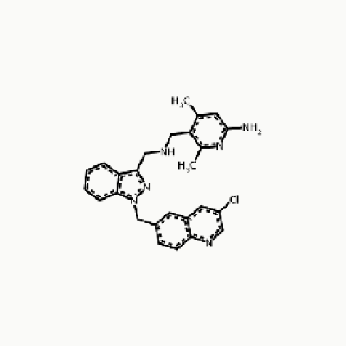 Cc1cc(N)nc(C)c1CNCc1nn(Cc2ccc3ncc(Cl)cc3c2)c2ccccc12